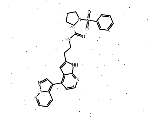 O=C(NCCc1cc2c(-c3cnn4ncccc34)ccnc2[nH]1)[C@@H]1CCCN1S(=O)(=O)c1ccccc1